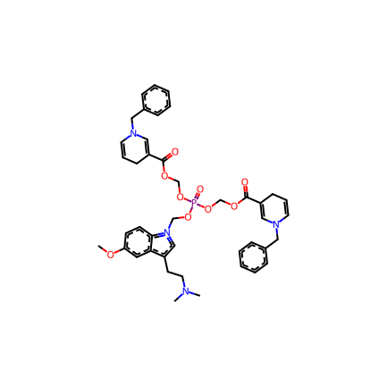 COc1ccc2c(c1)c(CCN(C)C)cn2COP(=O)(OCOC(=O)C1=CN(Cc2ccccc2)C=CC1)OCOC(=O)C1=CN(Cc2ccccc2)C=CC1